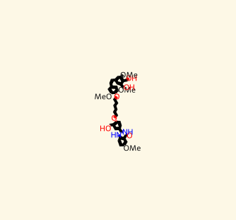 COc1ccc2c(c1)C(=O)NC(c1ccc(OCCCCCCOc3c(OC)cc(/C=C\c4cc(CO)c(CO)c(OC)c4)cc3OC)c(CO)c1)N2